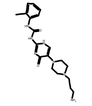 Cc1ccccc1NC(=O)Nc1nc(=O)c(N2CCN(CCCN)CC2)c[nH]1